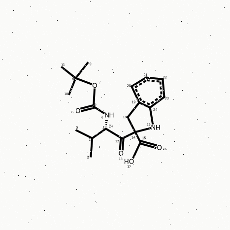 CC(C)[C@H](NC(=O)OC(C)(C)C)C(=O)C1(C(=O)O)Cc2ccccc2N1